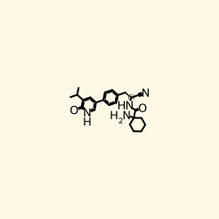 CC(C)c1cc(-c2ccc(C[C@@H](C#N)NC(=O)C3(N)CCCCC3)cc2)c[nH]c1=O